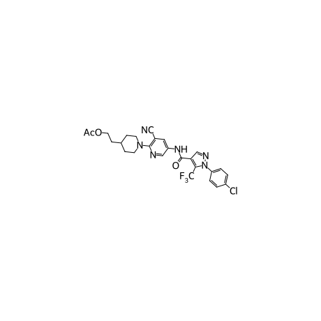 CC(=O)OCCC1CCN(c2ncc(NC(=O)c3cnn(-c4ccc(Cl)cc4)c3C(F)(F)F)cc2C#N)CC1